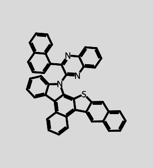 c1ccc2cc3c(cc2c1)sc1c3c2ccccc2c2c3ccccc3n(-c3nc4ccccc4nc3-c3cccc4ccccc34)c12